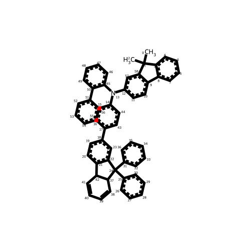 CC1(C)c2ccccc2-c2ccc(N(c3ccc(-c4ccc5c(c4)C(c4ccccc4)(c4ccccc4)C4C=CC=CC54)cc3)c3ccccc3-c3ccccc3)cc21